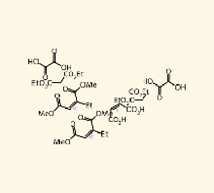 CC/C(=C/C(=O)OC)C(=O)OC.CC/C(=C/C(=O)OC)C(=O)OC.CCOC(=O)CC(=O)OCC.CCOC(=O)CC(=O)OCC.O=C(O)/C=C\C(=O)O.O=C(O)C(=O)O.O=C(O)C(=O)O